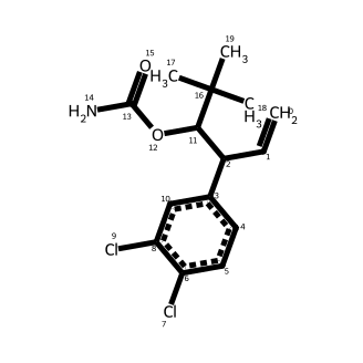 C=CC(c1ccc(Cl)c(Cl)c1)C(OC(N)=O)C(C)(C)C